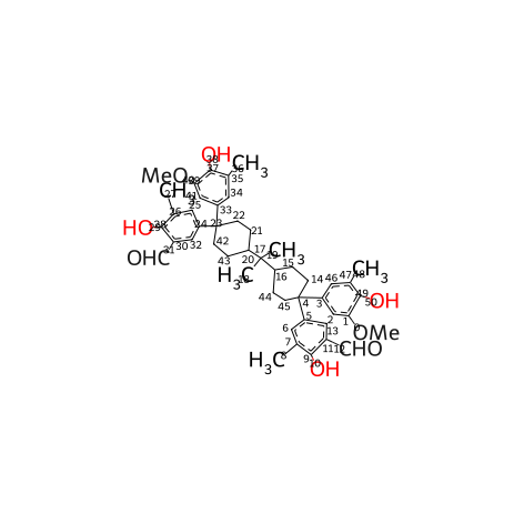 COc1cc(C2(c3cc(C)c(O)c(C=O)c3)CCC(C(C)(C)C3CCC(c4cc(C)c(O)c(C=O)c4)(c4cc(C)c(O)c(OC)c4)CC3)CC2)cc(C)c1O